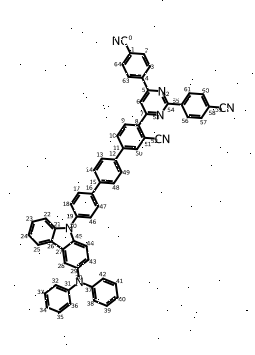 N#Cc1ccc(-c2cc(-c3ccc(-c4ccc(-c5ccc(-n6c7ccccc7c7cc(N(c8ccccc8)c8ccccc8)ccc76)cc5)cc4)cc3C#N)nc(-c3ccc(C#N)cc3)n2)cc1